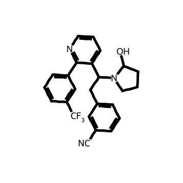 N#Cc1cccc(CC(c2cccnc2-c2cccc(C(F)(F)F)c2)N2CCCC2O)c1